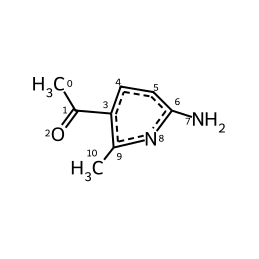 CC(=O)c1ccc(N)nc1C